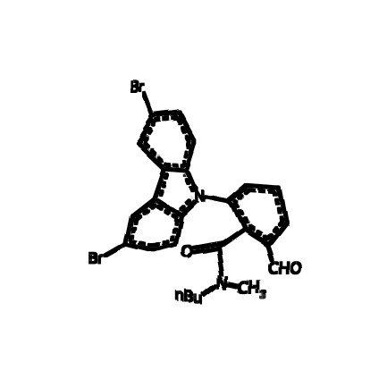 CCCCN(C)C(=O)c1c(C=O)cccc1-n1c2ccc(Br)cc2c2cc(Br)ccc21